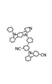 N#Cc1cc(-c2cccc(-n3c4cnccc4c4cc5c(cc43)c3ccccc3n5-c3ccccc3)c2)cc(-n2c3ccccc3c3cc(C#N)ccc32)c1